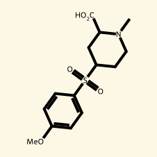 COc1ccc(S(=O)(=O)C2CCN(C)C(C(=O)O)C2)cc1